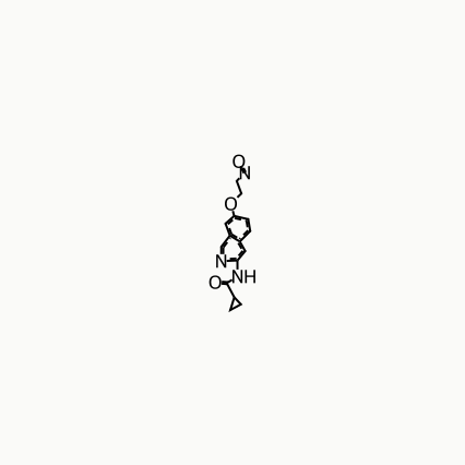 O=NCCOc1ccc2cc(NC(=O)C3CC3)ncc2c1